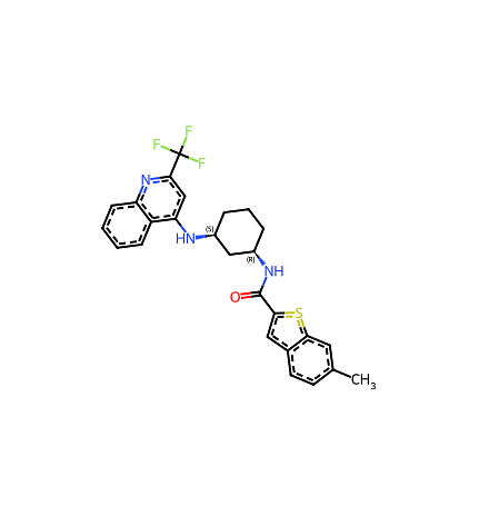 Cc1ccc2cc(C(=O)N[C@@H]3CCC[C@H](Nc4cc(C(F)(F)F)nc5ccccc45)C3)sc2c1